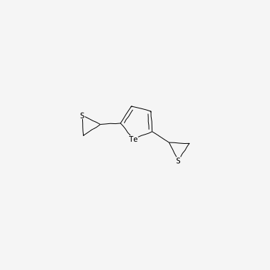 c1cc(C2CS2)[te]c1C1CS1